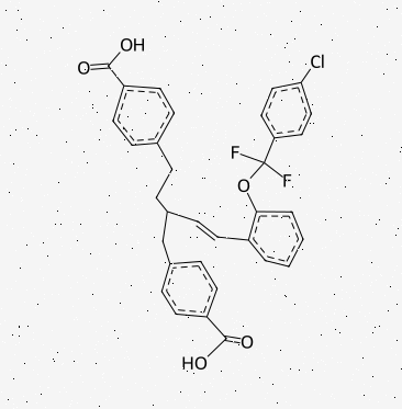 O=C(O)c1ccc(CCC(/C=C/c2ccccc2OC(F)(F)c2ccc(Cl)cc2)Cc2ccc(C(=O)O)cc2)cc1